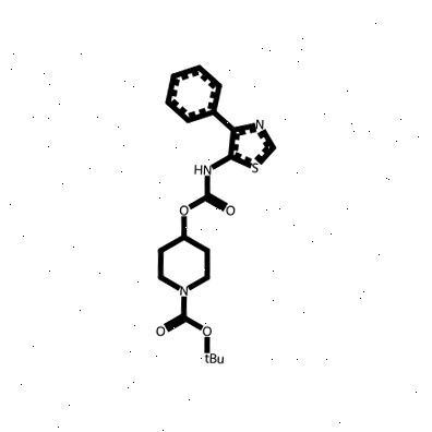 CC(C)(C)OC(=O)N1CCC(OC(=O)Nc2scnc2-c2ccccc2)CC1